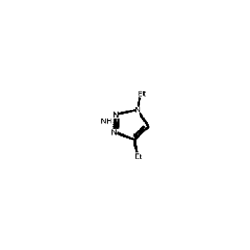 CCc1cn(CC)nn1.N